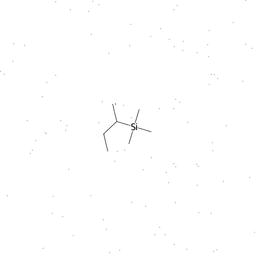 [CH2]C(CC)[Si](C)(C)C